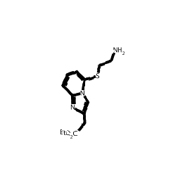 CCOC(=O)Cc1cn2c(SCCN)cccc2n1